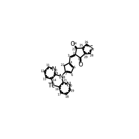 O=C1C(=CC2=CC=C(N3c4ncccc4[Te]c4cccnc43)C2)C(=O)c2cscc21